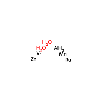 O.O.[AlH3].[Mn].[Ru].[V].[Zn]